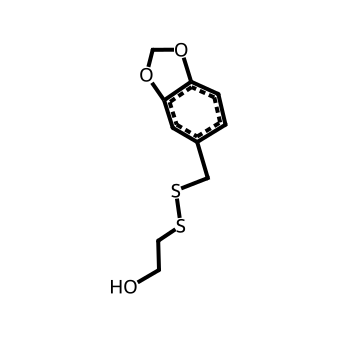 OCCSSCc1ccc2c(c1)OCO2